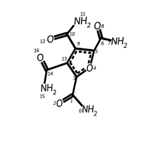 NC(=O)c1oc(C(N)=O)c(C(N)=O)c1C(N)=O